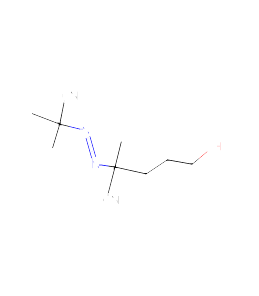 CC(C)(C#N)N=NC(C)(C#N)CCCO